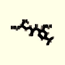 CN(C)c1ccc(NC(=O)CC[C@H](N)C(=O)O)c(S(=O)(=O)O)c1